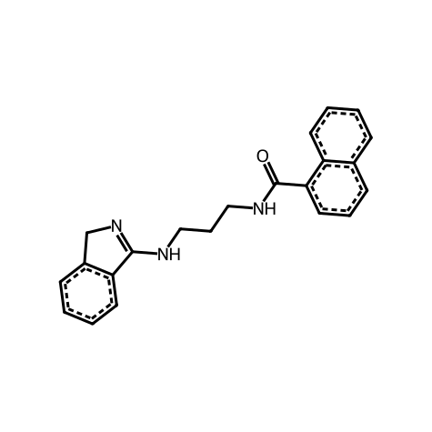 O=C(NCCCNC1=NCc2ccccc21)c1cccc2ccccc12